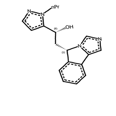 CCCn1nccc1[C@H](O)C[C@H]1c2ccccc2-c2cncn21